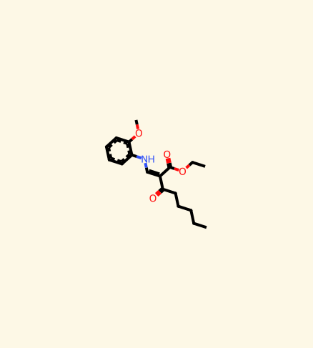 CCCCCC(=O)C(=CNc1ccccc1OC)C(=O)OCC